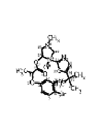 CC(Oc1ccc(Br)c(Br)c1)C(=O)OC1CN(C)C[N+]1([O-])c1nnc(C(C)(C)C)s1